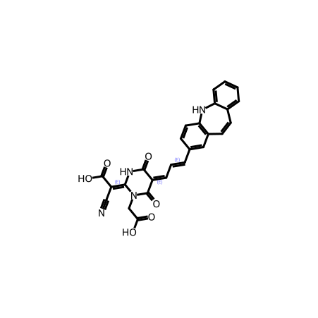 N#C/C(C(=O)O)=c1/[nH]c(=O)/c(=C\C=C\c2ccc3c(c2)C=Cc2ccccc2N3)c(=O)n1CC(=O)O